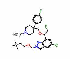 C[Si](C)(C)CCOCn1cc2cc(Cl)cc(C(CF)OCC3(c4ccc(F)cc4)CCN(C(=O)O)CC3)c2n1